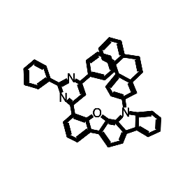 c1ccc(-c2cc(-c3cccc4c3oc3c4ccc4c5ccccc5n(-c5ccc6c(ccc7ccccc76)c5)c43)nc(-c3ccccc3)n2)cc1